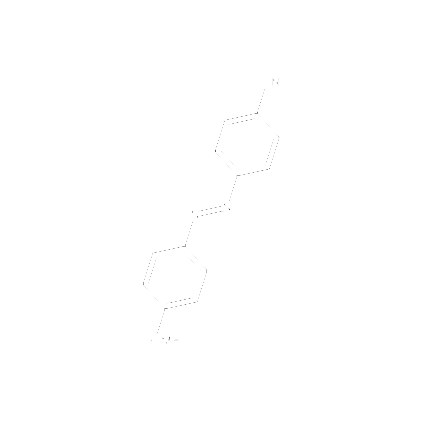 COc1ccc(N=Nc2ccc(C#N)cc2)cc1